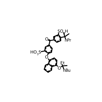 CCCCC(C)(CC)Oc1ccc(Oc2ccc(C(=O)c3ccc(C(C)(C)CCC)c(S(=O)(=O)O)c3)cc2S(=O)(=O)O)c2ccccc12